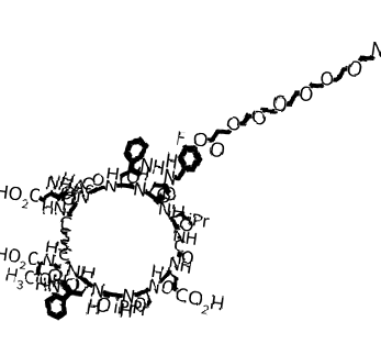 CC(=O)N[C@@H](CC(=O)O)C(=O)N[C@H]1CSSC[C@@H](C(=O)N[C@H](C(=O)O)[C@@H](C)O)NC(=O)[C@H](Cc2c[nH]c3ccccc23)NC(=O)[C@H](C(C)C)NC(=O)[C@H](CC(C)C)NC(=O)[C@H](CCC(=O)O)NC(=O)CNC(=O)[C@H](CC(C)C)NC(=O)[C@H](CC(=O)NCc2ccc(OC(=O)CCOCCOCCOCCOCCOCCOCCN)c(F)c2)NC(=O)[C@H](Cc2c[nH]c3ccccc23)NC(=O)[C@H](C)NC1=O